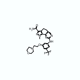 Cn1nc(C(N)=O)c2c1-c1nc(Nc3cc(OCCN4CCOCC4)cc(C(F)(F)F)c3)ncc1CC2